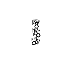 CN(C(=O)c1c(F)cccc1F)c1cccc(C(=O)N(I)c2ccc(C(F)(C(F)(F)F)C(F)(F)F)cc2C(F)(F)F)c1F